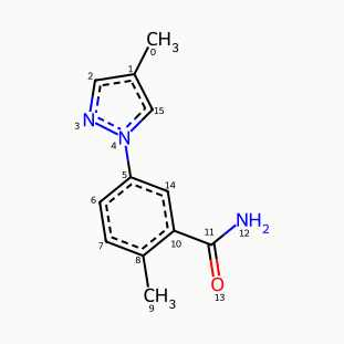 Cc1cnn(-c2ccc(C)c(C(N)=O)c2)c1